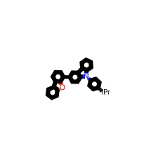 CC(C)c1ccc(-n2c3ccccc3c3cc(-c4cccc5c4oc4ccccc45)ccc32)cc1